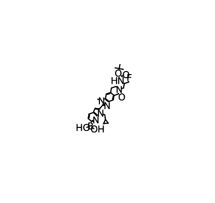 Cn1c(-c2cc3ccc(B(O)O)nc3n2CC2CC2)nc2cc3c(cc21)CCN(CC(CF)NC(=O)OC(C)(C)C)C3=O